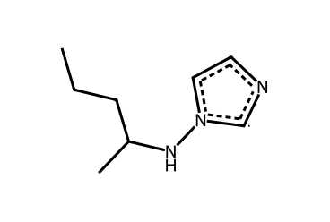 CCCC(C)Nn1[c]ncc1